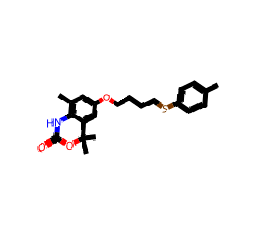 Cc1ccc(SCCCCOc2cc(C)c3c(c2)C(C)(C)OC(=O)N3)cc1